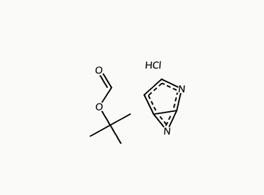 CC(C)(C)OC=O.Cl.c1cc2nc-2n1